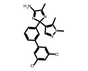 CC1=NC(c2cccc(-c3cc(Cl)cc(Cl)c3)c2)(c2cnn(C)c2C)N=C1N